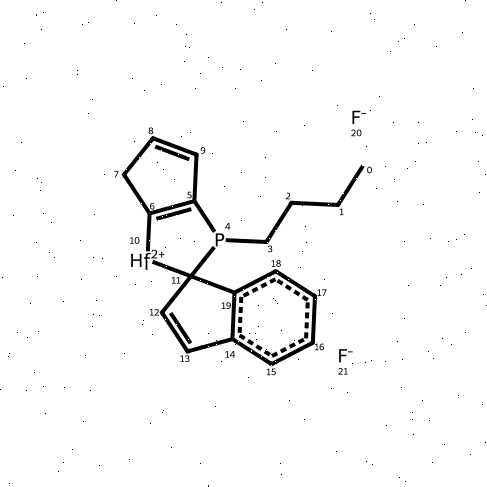 CCCCP1C2=[C](CC=C2)[Hf+2][C]12C=Cc1ccccc12.[F-].[F-]